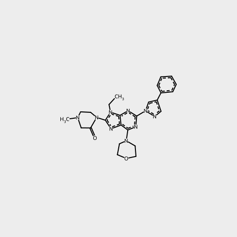 CCn1c(N2CCN(C)CC2=O)nc2c(N3CCOCC3)nc(-n3cc(-c4ccccc4)cn3)nc21